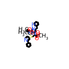 COC(=O)C(CSc1ccnc(-c2ccccc2)c1)NC(=O)C(Cc1ccccc1)NC(=O)OC(C)(C)C